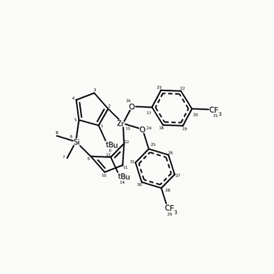 CC(C)(C)C1=[C]2CC=C1[Si](C)(C)C1=CC[C](=C1C(C)(C)C)[Zr]2([O]c1ccc(C(F)(F)F)cc1)[O]c1ccc(C(F)(F)F)cc1